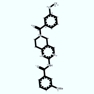 COc1cccc(C(=O)Nc2ncc3c(n2)CCN(C(=O)c2cccc(OC(F)(F)F)c2)C3)c1